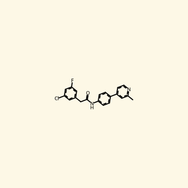 Cc1cc(-c2ccc(NC(=O)Cc3cc(F)cc(Cl)c3)cc2)ccn1